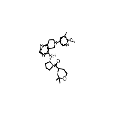 COc1ncc(N2CCc3ncnc(N[C@@H]4CCCN4C(=O)C4CCOC(C)(C)C4)c3C2)cc1C